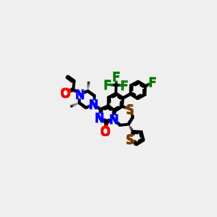 C=CC(=O)N1[C@H](C)CN(c2nc(=O)n3c4c(c(-c5ccc(F)cc5)c(C(F)(F)F)cc24)SC[C@H](c2cccs2)C3)C[C@@H]1C